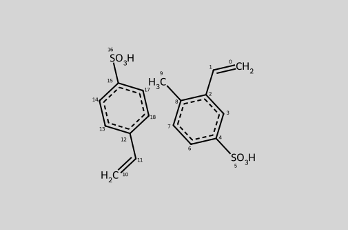 C=Cc1cc(S(=O)(=O)O)ccc1C.C=Cc1ccc(S(=O)(=O)O)cc1